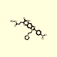 CCN(CC)c1ccc(-c2nc3cc4[nH]c(=O)c(CCC(=O)OC(C)(C)C)nc4cc3n2CCN2CCCC2)cc1